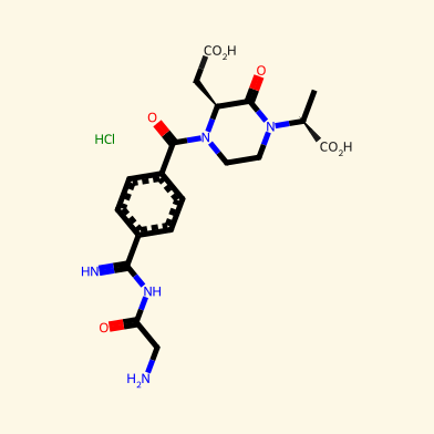 C[C@@H](C(=O)O)N1CCN(C(=O)c2ccc(C(=N)NC(=O)CN)cc2)[C@@H](CC(=O)O)C1=O.Cl